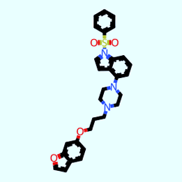 O=S(=O)(c1ccccc1)n1ccc2c(N3CCN(CCCOc4ccc5ccoc5c4)CC3)cccc21